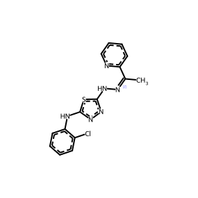 C/C(=N/Nc1nnc(Nc2ccccc2Cl)s1)c1ccccn1